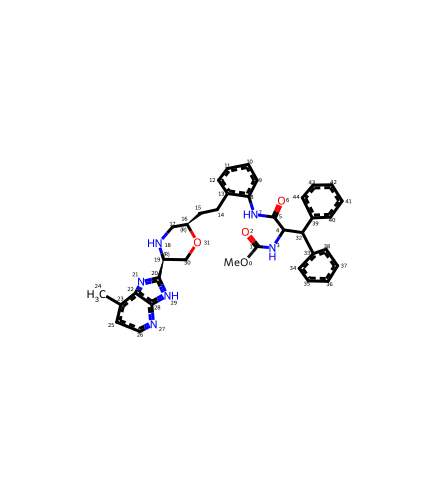 COC(=O)NC(C(=O)Nc1ccccc1CC[C@@H]1CN[C@H](c2nc3c(C)ccnc3[nH]2)CO1)C(c1ccccc1)c1ccccc1